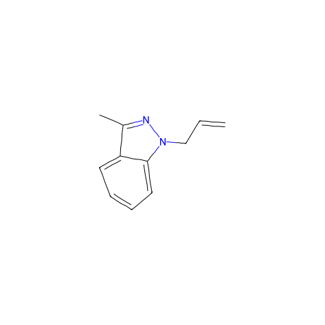 C=CCn1nc(C)c2ccccc21